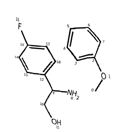 COc1ccccc1.NC(CO)c1ccc(F)cc1